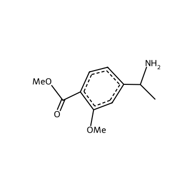 COC(=O)c1ccc(C(C)N)cc1OC